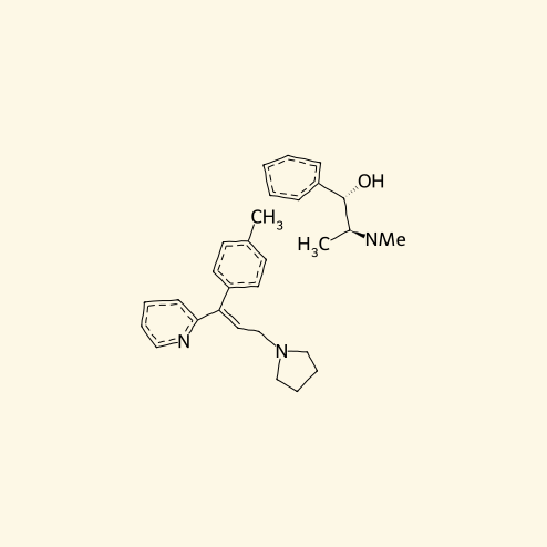 CN[C@@H](C)[C@@H](O)c1ccccc1.Cc1ccc(/C(=C\CN2CCCC2)c2ccccn2)cc1